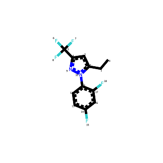 CCc1cc(C(F)(F)F)nn1-c1ccc(F)cc1F